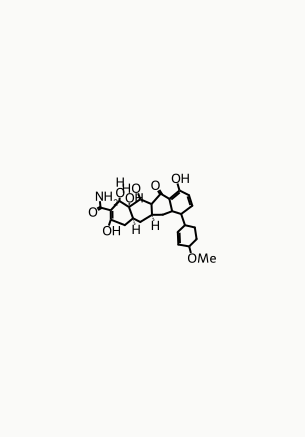 COC1C=CC(C2C=CC(O)=C3C(=O)C4C(O)[C@]5(O)C(O)C(C(N)=O)=C(O)C[C@@H]5C[C@@H]4CC32)CC1